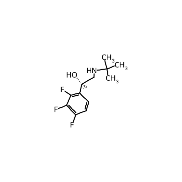 CC(C)(C)NC[C@@H](O)c1ccc(F)c(F)c1F